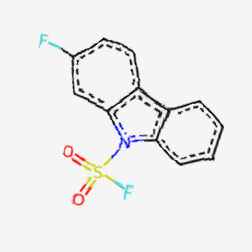 O=S(=O)(F)n1c2ccccc2c2ccc(F)cc21